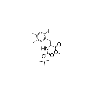 COC(=O)[C@H](Cc1cc(C)c(C)cc1I)NC(=O)OC(C)(C)C